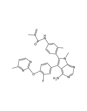 C=C(C)C(=O)Nc1ccc(-c2c(-c3ccc(Oc4nccc(C)n4)c(F)c3)c3c(N)ncnc3n2C)c(C)c1